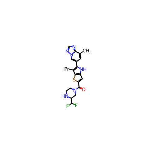 Cc1cc(-c2[nH]c3cc(C(=O)N4CCNC(C(F)F)C4)sc3c2C(C)C)cn2ncnc12